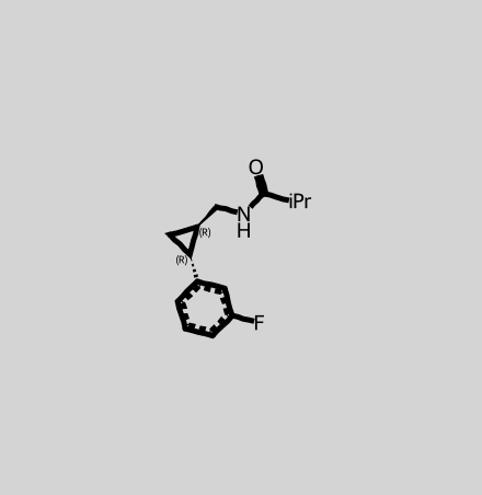 CC(C)C(=O)NC[C@@H]1C[C@H]1c1cccc(F)c1